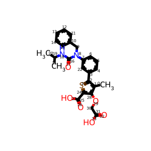 Cc1c(-c2cccc(N(Cc3ccccc3)C(=O)NC(C)C)c2)sc(C(=O)O)c1OCC(=O)O